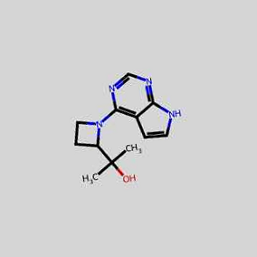 CC(C)(O)C1CCN1c1ncnc2[nH]ccc12